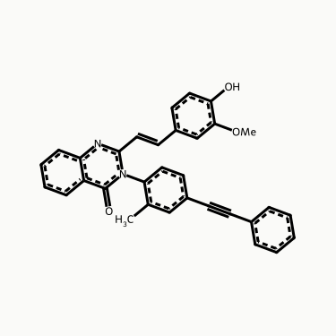 COc1cc(/C=C/c2nc3ccccc3c(=O)n2-c2ccc(C#Cc3ccccc3)cc2C)ccc1O